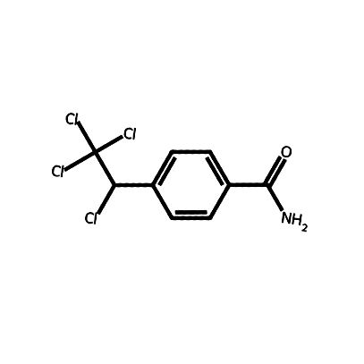 NC(=O)c1ccc(C(Cl)C(Cl)(Cl)Cl)cc1